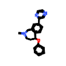 CN1CCC(Oc2ccccc2)c2ccc(-c3cnccn3)cc2C1